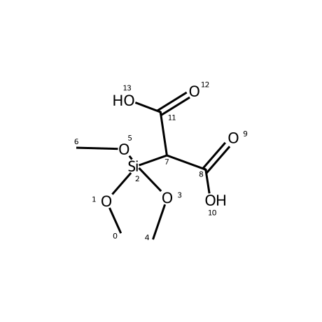 CO[Si](OC)(OC)C(C(=O)O)C(=O)O